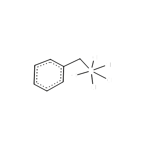 ClS(Cl)(Cl)(Cl)(Cl)Cc1ccccc1